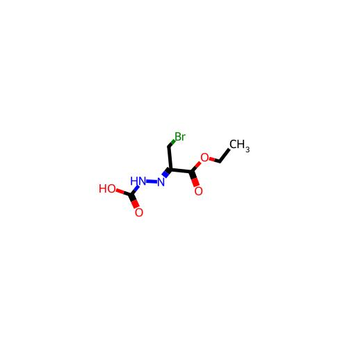 CCOC(=O)/C(CBr)=N/NC(=O)O